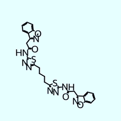 O=C(Cc1noc2ccccc12)Nc1nnc(CCCCc2nnc(NC(=O)Cc3noc4ccccc34)s2)s1